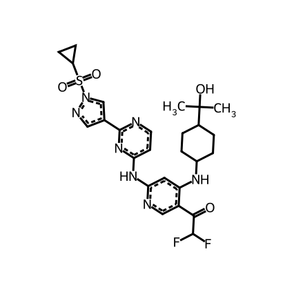 CC(C)(O)C1CCC(Nc2cc(Nc3ccnc(-c4cnn(S(=O)(=O)C5CC5)c4)n3)ncc2C(=O)C(F)F)CC1